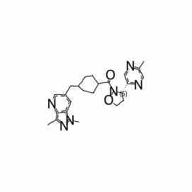 Cc1cnc([C@@H]2CCON2C(=O)C2CCC(Cc3cnc4c(C)nn(C)c4c3)CC2)cn1